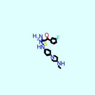 CCNC1CCN(c2ccc(Nc3nc(N)c(C(=O)c4cccc(F)c4)s3)cc2)CC1